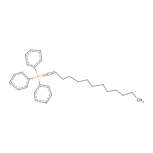 CCCCCCCCCCCC=C=P(c1ccccc1)(c1ccccc1)c1ccccc1